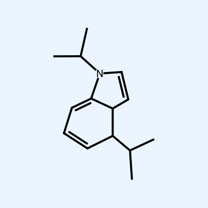 CC(C)C1C=CC=C2C1C=CN2C(C)C